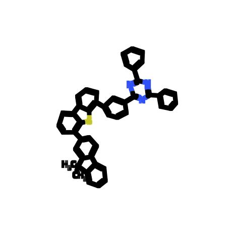 CC1(C)c2ccccc2-c2ccc(-c3cccc4c3sc3c(-c5cccc(-c6nc(-c7ccccc7)nc(-c7ccccc7)n6)c5)cccc34)cc21